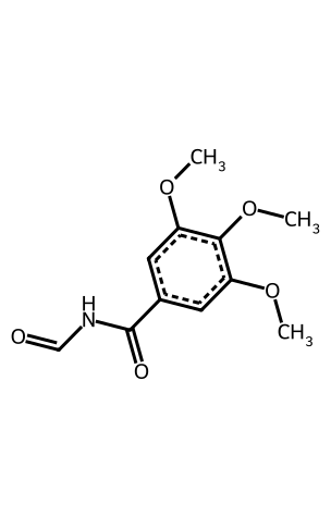 COc1cc(C(=O)NC=O)cc(OC)c1OC